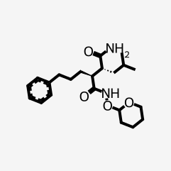 CC(C)C[C@@H](C(N)=O)[C@H](CCCc1ccccc1)C(=O)NOC1CCCCO1